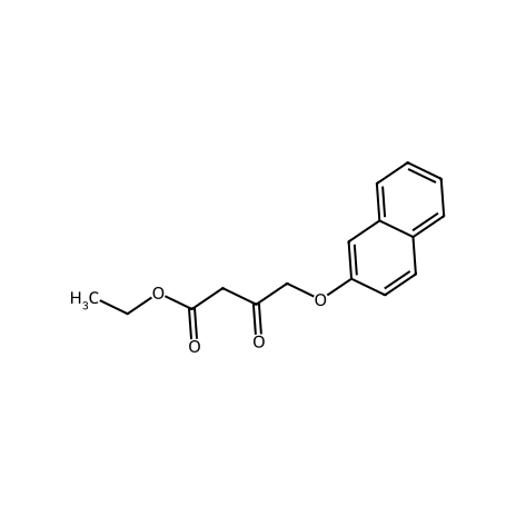 CCOC(=O)CC(=O)COc1ccc2ccccc2c1